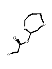 O=C(CBr)OC1COCCCS1